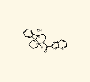 O=C(c1nc2ncccn2n1)N1CC[C@](O)(c2ccccc2)[C@H]2CCCC[C@H]21